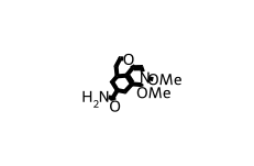 COC1C2=C3C(=CN1OC)OCCC3CC(C(N)=O)C2